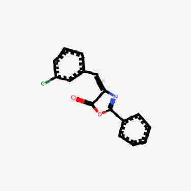 O=C1OC(c2ccccc2)=N/C1=C/c1cccc(Cl)c1